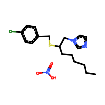 CCCCCCC(Cn1ccnc1)SCc1ccc(Cl)cc1.O=[N+]([O-])O